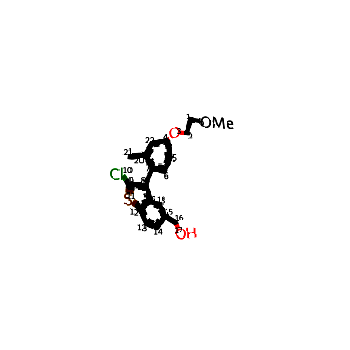 COCCOc1ccc(-c2c(Cl)sc3ccc(CO)cc23)c(C)c1